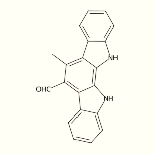 Cc1c(C=O)c2c3ccccc3[nH]c2c2[nH]c3ccccc3c12